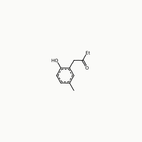 CCC(=O)Cc1cc(C)ccc1O